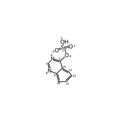 O=[Se](=O)(O)Oc1ncnc2ccccc12